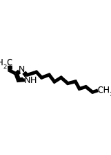 C=Cc1c[nH]c(CCCCCCCCCCC)n1